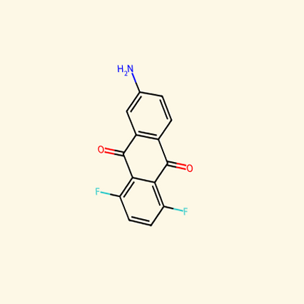 Nc1ccc2c(c1)C(=O)c1c(F)ccc(F)c1C2=O